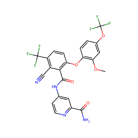 COc1cc(OC(F)(F)F)ccc1Oc1ccc(C(F)(F)F)c(C#N)c1C(=O)Nc1ccnc(C(N)=O)c1